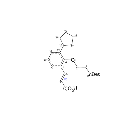 CCCCCCCCCCCCOc1c(/C=C/C(=O)O)cccc1C1CCCC1